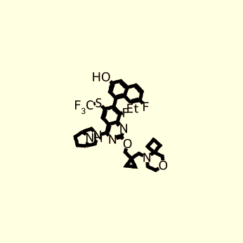 CCc1c(F)ccc2cc(O)cc(-c3c(SC(F)(F)F)cc4c(N5CC6CCC(C5)N6)nc(OCC5(CN6CCOCC67CCC7)CC5)nc4c3F)c12